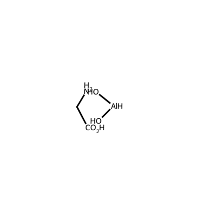 NCC(=O)O.[OH][AlH][OH]